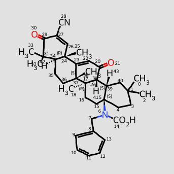 CC1(C)CC[C@]2(N(Cc3ccccc3)C(=O)O)CC[C@]3(C)[C@H](C(=O)C=C4[C@@]5(C)C=C(C#N)C(=O)C(C)(C)[C@@H]5CC[C@]43C)[C@@H]2C1